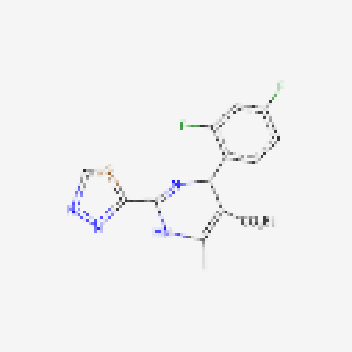 CCOC(=O)C1=C(C)NC(c2nncs2)=NC1c1ccc(F)cc1F